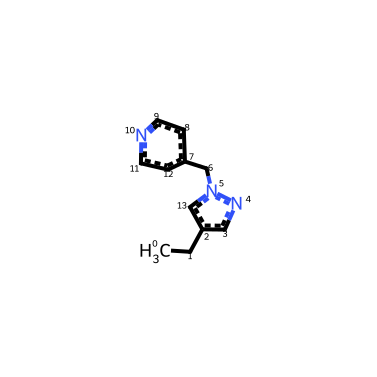 CCc1cnn(Cc2ccncc2)c1